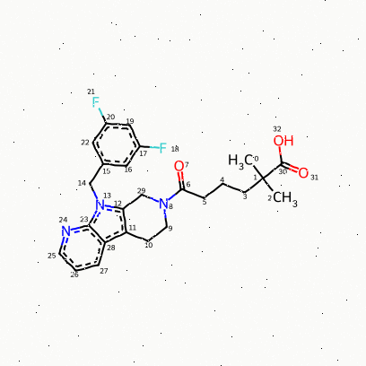 CC(C)(CCCC(=O)N1CCc2c(n(Cc3cc(F)cc(F)c3)c3ncccc23)C1)C(=O)O